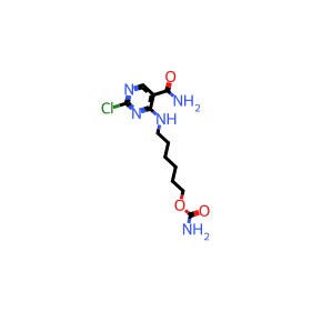 NC(=O)OCCCCCCNc1nc(Cl)ncc1C(N)=O